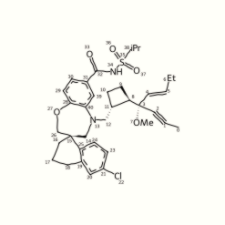 CC#C[C@@](/C=C/CC)(OC)[C@@H]1CC[C@H]1CN1C[C@@]2(CCCc3cc(Cl)ccc32)COc2ccc(C(=O)NS(=O)(=O)C(C)C)cc21